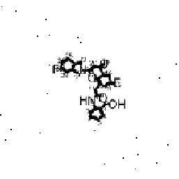 O=C(O)c1ccccc1NCCc1cc(F)cc2c(=O)cc(N3Cc4ccc(F)cc4C3)oc12